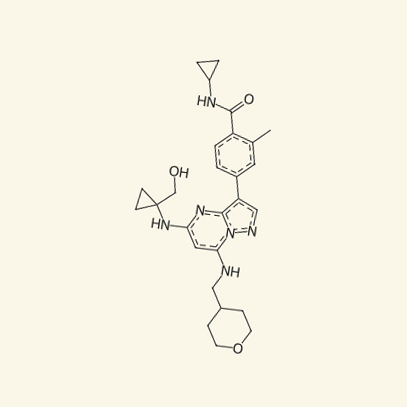 Cc1cc(-c2cnn3c(NCC4CCOCC4)cc(NC4(CO)CC4)nc23)ccc1C(=O)NC1CC1